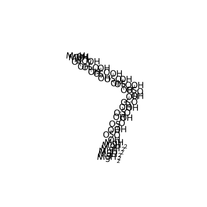 O=S(=O)(O)O.O=S(=O)(O)O.O=S(=O)(O)O.O=S(=O)(O)O.O=S(=O)(O)O.O=S(=O)(O)O.O=S(=O)(O)O.O=S(=O)(O)O.O=S(=O)(O)O.O=S(=O)(O)O.[MgH2].[MgH2].[MgH2].[MgH2].[MgH2].[MgH2].[MgH2].[MgH2]